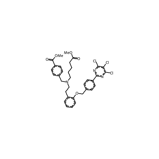 COC(=O)CCCCN(CCc1ccccc1OCc1ccc(-c2nc(Cl)c(Cl)c(Cl)n2)cc1)Cc1ccc(C(=O)OC)cc1